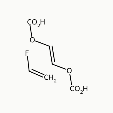 C=CF.O=C(O)O/C=C/OC(=O)O